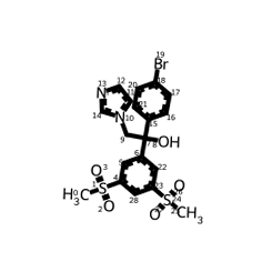 CS(=O)(=O)c1cc(C(O)(Cn2ccnc2)c2ccc(Br)cc2)cc(S(C)(=O)=O)c1